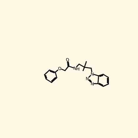 CC(C)(CNC(=O)COc1ccccc1)Cn1nnc2ccccc21